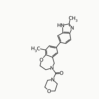 Cc1nc2ccc(-c3cc(C)c4c(c3)CN(C(=O)N3CCOCC3)CCO4)cc2[nH]1